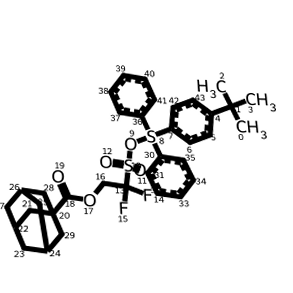 CC(C)(C)c1ccc(S(OS(=O)(=O)C(F)(F)COC(=O)C23CC4CC(CC(C4)C2)C3)(c2ccccc2)c2ccccc2)cc1